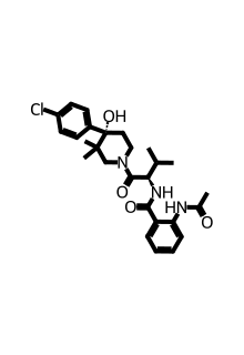 CC(=O)Nc1ccccc1C(=O)N[C@@H](C(=O)N1CC[C@](O)(c2ccc(Cl)cc2)C(C)(C)C1)C(C)C